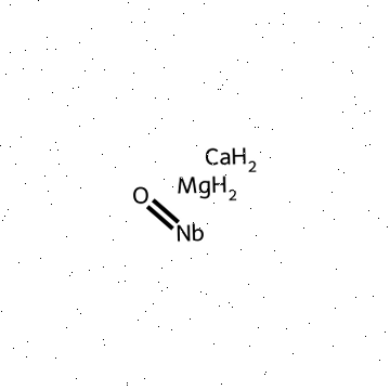 [CaH2].[MgH2].[O]=[Nb]